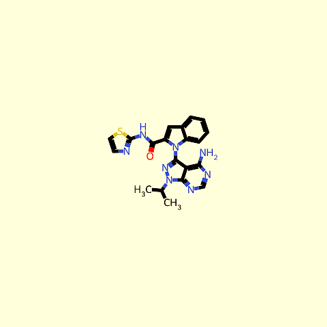 CC(C)n1nc(-n2c(C(=O)Nc3nccs3)cc3ccccc32)c2c(N)ncnc21